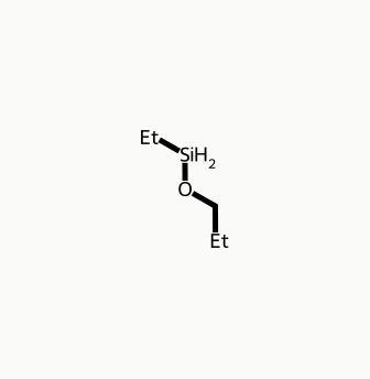 [CH2]C[SiH2]OCCC